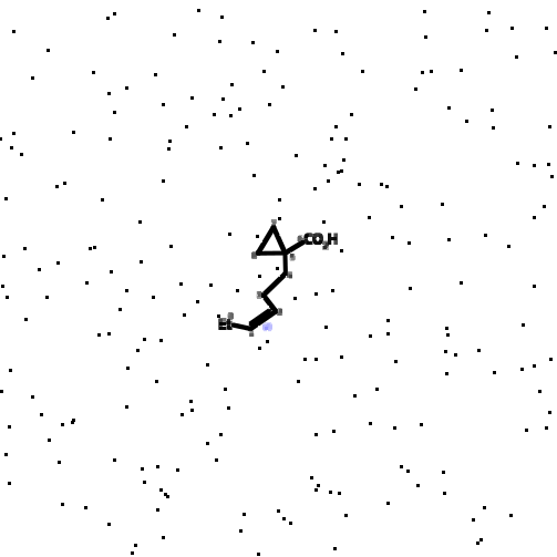 CC/C=C\CCC1(C(=O)O)CC1